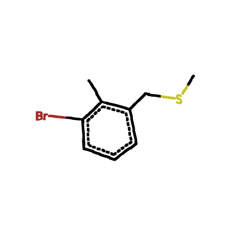 CSCc1cccc(Br)c1C